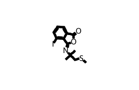 CSCC(C)(C)N=C1OC(=O)c2cccc(I)c21